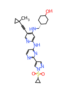 CC1(C#Cc2cnc(Nc3ccnc(-c4cnn(S(=O)(=O)C5CC5)c4)n3)cc2NC[C@H]2CC[C@H](O)CC2)CC1